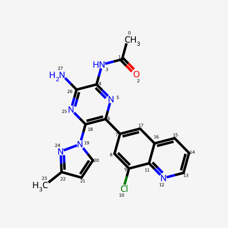 CC(=O)Nc1nc(-c2cc(Cl)c3ncccc3c2)c(-n2ccc(C)n2)nc1N